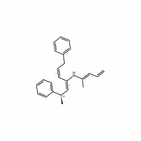 C=C/C=C(\C)NC(/C=C\Cc1ccccc1)=C/[C@@H](C)c1ccccc1